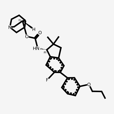 CCCOc1cccc(-c2cc3c(cc2F)[C@H](NC(=O)O[C@@H]2CN4CCC2CC4)C(C)(C)C3)c1